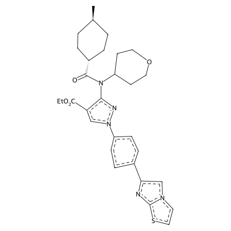 CCOC(=O)c1cn(-c2ccc(-c3cn4ccsc4n3)cc2)nc1N(C(=O)[C@H]1CC[C@H](C)CC1)C1CCOCC1